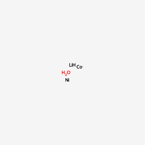 O.[Co].[LiH].[Ni]